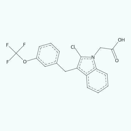 O=C(O)Cn1c(Cl)c(Cc2cccc(OC(F)(F)F)c2)c2ccccc21